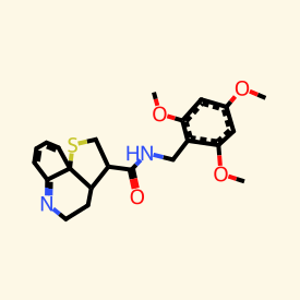 COc1cc(OC)c(CNC(=O)C2CSC34C=CC=CC3=NCCC24)c(OC)c1